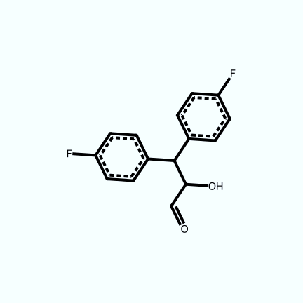 O=CC(O)C(c1ccc(F)cc1)c1ccc(F)cc1